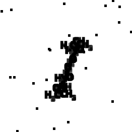 CC(C)C(=O)NCCNC(=O)CCOCCOCCNC(=O)C(C)(C)C